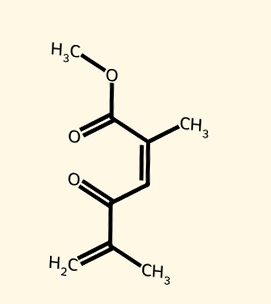 C=C(C)C(=O)C=C(C)C(=O)OC